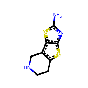 Nc1nc2sc3c(c2s1)CNCC3